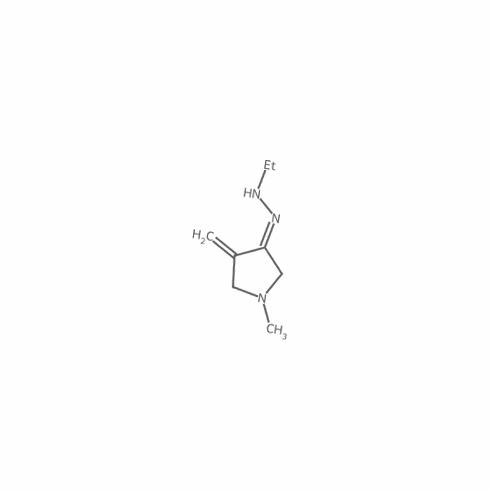 C=C1CN(C)C/C1=N/NCC